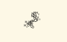 C[C@@H](NC(=O)[C@@]1(N)CCN(c2ccc(F)c(C(F)(F)F)c2Cn2cnc3c(N)ncnc32)C1)C1CCOCC1